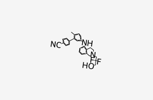 Cc1ccc(Nc2cccc3c2CCN(CC(F)(F)CO)C3)cc1-c1ccc(C#N)cc1